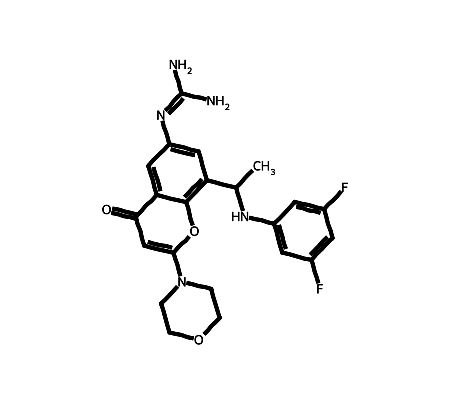 CC(Nc1cc(F)cc(F)c1)c1cc(N=C(N)N)cc2c(=O)cc(N3CCOCC3)oc12